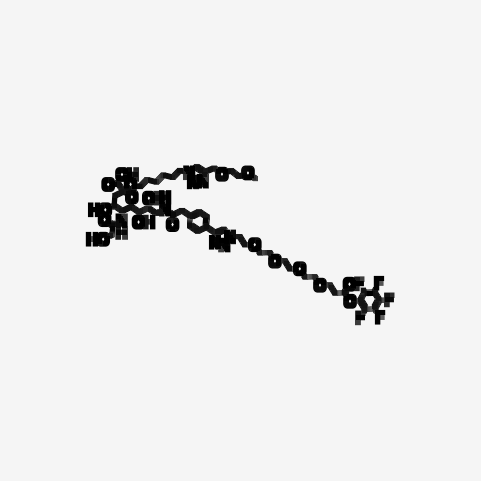 COCCOCc1cn(CCCCCCO[C@]2(C(=O)O)C[C@H](O)[C@@H](NC(=O)CO)[C@H]([C@H](O)[C@H](O)CNC(=O)Cc3ccc(-c4cn(CCOCCOCCOCCOCCC(=O)Oc5c(F)c(F)c(F)c(F)c5F)nn4)cc3)O2)nn1